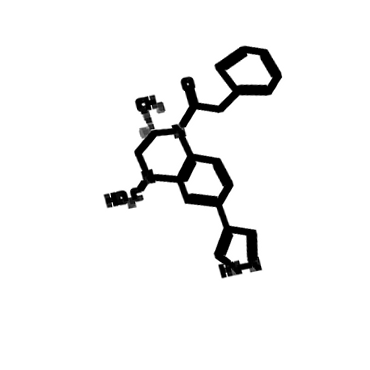 C[C@H]1CN(C(=O)O)c2cc(-c3cn[nH]c3)ccc2N1C(=O)Cc1ccccc1